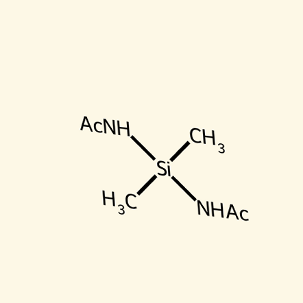 CC(=O)N[Si](C)(C)NC(C)=O